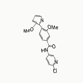 COc1cc(C(=O)Nc2ccc(Cl)nc2)ccc1-c1ncccc1OC